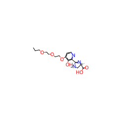 CCCOCCOCCOc1ccnc(C2=N[C@@](C)(C(=O)O)CN2C)c1O